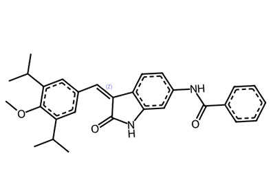 COc1c(C(C)C)cc(/C=C2\C(=O)Nc3cc(NC(=O)c4ccccc4)ccc32)cc1C(C)C